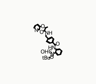 CC(Oc1cccnc1)C(=O)NCc1ccc(C(=O)Nc2ccccc2N(C=O)OC(C)(C)C)cc1